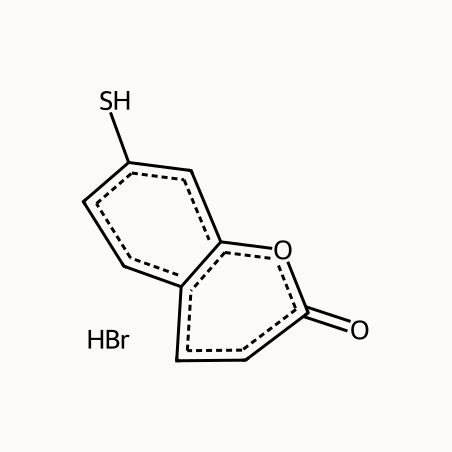 Br.O=c1ccc2ccc(S)cc2o1